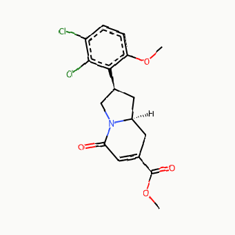 COC(=O)C1=CC(=O)N2C[C@@H](c3c(OC)ccc(Cl)c3Cl)C[C@H]2C1